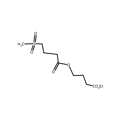 CCOC(=O)CCCOC(=O)CCCS(C)(=O)=O